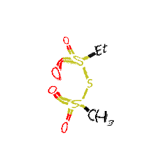 CCS(=O)(=O)SS(C)(=O)=O